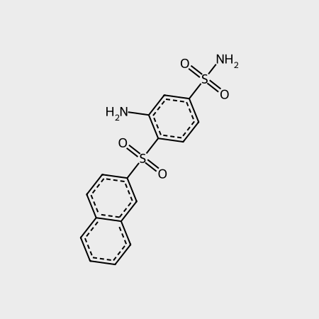 Nc1cc(S(N)(=O)=O)ccc1S(=O)(=O)c1ccc2ccccc2c1